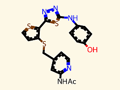 CC(=O)Nc1cc(CSc2ccsc2-c2nnc(Nc3ccc(O)cc3)s2)ccn1